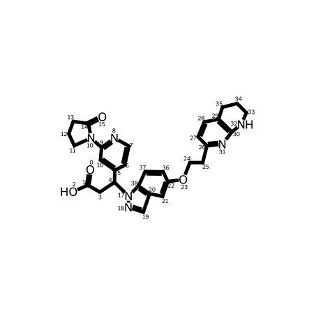 O=C(O)CC(c1ccnc(N2CCCC2=O)c1)n1ncc2cc(OCCc3ccc4c(n3)NCCC4)ccc21